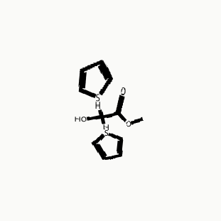 COC(=O)C(O)([SH]1C=CC=C1)[SH]1C=CC=C1